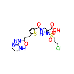 O=C(CCc1ccc(C(=O)NC[C@H](NS(=O)(=O)CCCCl)C(=O)O)s1)NC1=NCCCN1